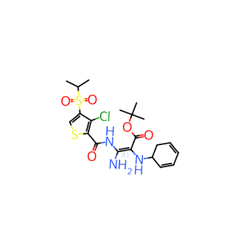 CC(C)S(=O)(=O)c1csc(C(=O)N/C(N)=C(/NC2C=CC=CC2)C(=O)OC(C)(C)C)c1Cl